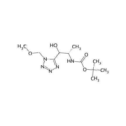 COCn1nnnc1C(O)[C@H](C)NC(=O)OC(C)(C)C